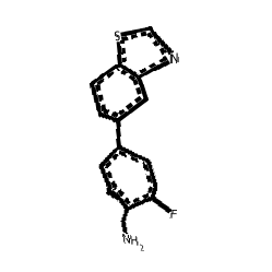 Nc1ccc(-c2ccc3scnc3c2)cc1F